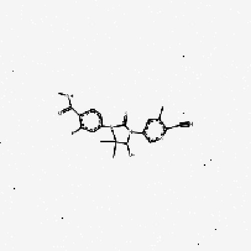 CNC(=O)c1ccc(N2C(=S)N(c3cnc(C#N)c(C)c3)C(O)C2(C)C)cc1F